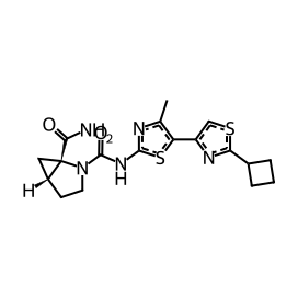 Cc1nc(NC(=O)N2CC[C@@H]3C[C@@]32C(N)=O)sc1-c1csc(C2CCC2)n1